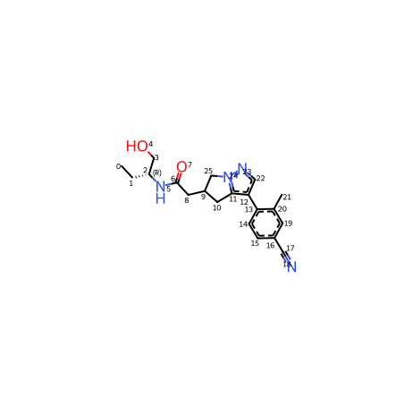 CC[C@H](CO)NC(=O)CC1Cc2c(-c3ccc(C#N)cc3C)cnn2C1